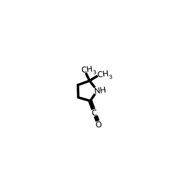 CC1(C)CCC(=C=O)N1